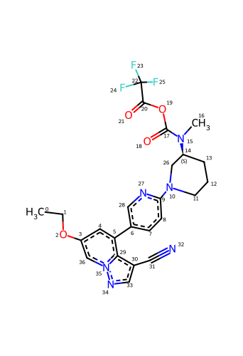 CCOc1cc(-c2ccc(N3CCC[C@H](N(C)C(=O)OC(=O)C(F)(F)F)C3)nc2)c2c(C#N)cnn2c1